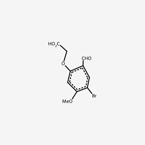 COc1cc(OCC(=O)O)c(C=O)cc1Br